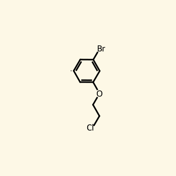 ClCCOc1c[c]cc(Br)c1